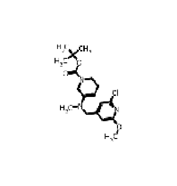 COc1cc(CN(C)C2=CCCN(C(=O)OC(C)(C)C)C2)cc(Cl)n1